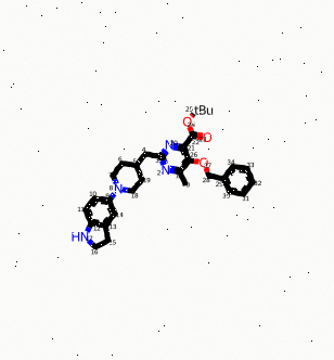 Cc1nc(CC2CCN(c3ccc4c(c3)CCN4)CC2)nc(C(=O)OC(C)(C)C)c1OCc1ccccc1